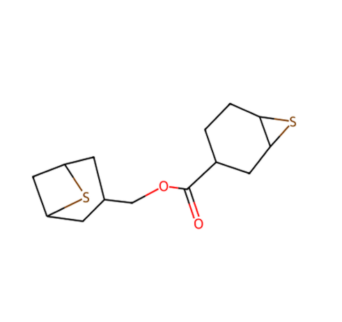 O=C(OCC1CC2CC(C1)S2)C1CCC2SC2C1